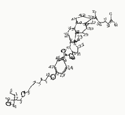 CCC1(COCCCCCCOc2ccc(C(=O)OC3CCC4(C)C(=CCC5C4CCC4(C)C(C(C)CCCC(C)C)CCC54)C3)cc2)COC1